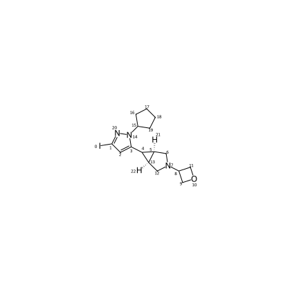 Ic1cc(C2[C@H]3CN(C4COC4)C[C@@H]23)n(C2CCCC2)n1